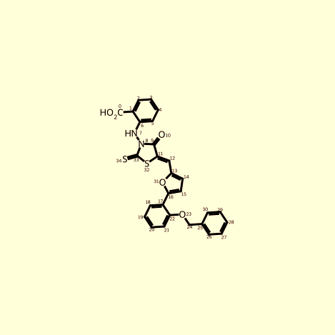 O=C(O)c1ccccc1NN1C(=O)/C(=C/c2ccc(-c3ccccc3OCc3ccccc3)o2)SC1=S